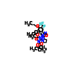 C=CCCOc1ccc(-c2noc([C@@H]3CCCN3/C(=N\C(=O)OC(C)(C)C)NC(=O)OC(C)(C)C)n2)cc1C(F)(F)F